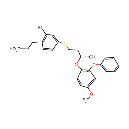 CCc1cc(SCC[C@H](C)Oc2ccc(OC(F)(F)F)cc2Oc2ccccc2)ccc1CCC(=O)O